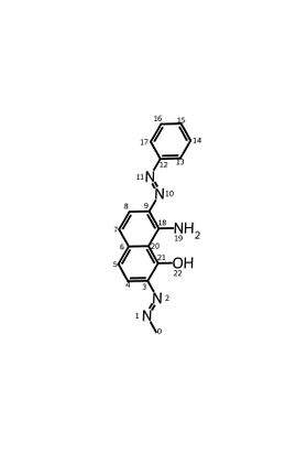 CN=Nc1ccc2ccc(N=Nc3ccccc3)c(N)c2c1O